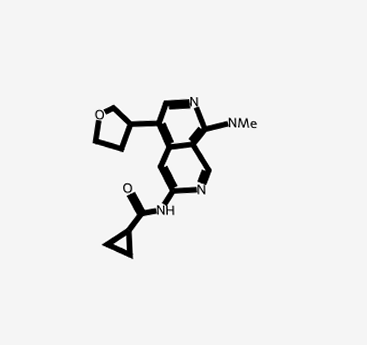 CNc1ncc(C2CCOC2)c2cc(NC(=O)C3CC3)ncc12